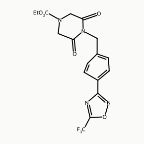 CCOC(=O)N1CC(=O)N(Cc2ccc(-c3noc(C(F)(F)F)n3)cc2)C(=O)C1